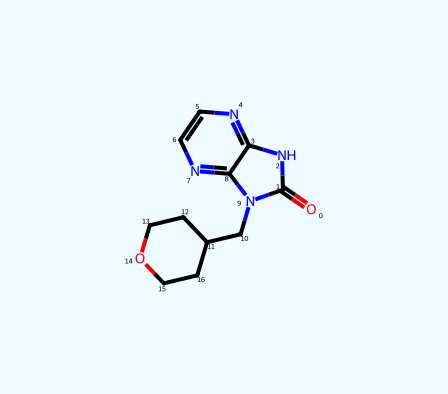 O=c1[nH]c2nccnc2n1CC1CCOCC1